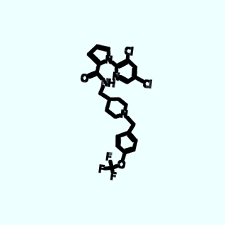 O=C(NCC1CCN(Cc2ccc(OC(F)(F)F)cc2)CC1)c1cccn1-c1ncc(Cl)cc1Cl